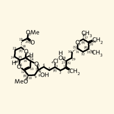 C=C(C[C@H](Cl)CC[C@@]1(O)C[C@@H](OC)C2=CC(O1)[C@H]1O[C@@H](CC(=O)OC)CC[C@@H]1O2)[C@@H](O)CC[C@H]1C[C@@H](C)C(=C)[C@@H](C)O1